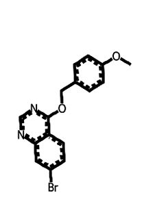 COc1ccc(COc2ncnc3cc(Br)ccc23)cc1